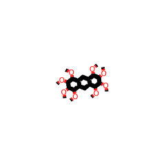 COc1c(OC)c(OC)c2cc3c(OC)c(OC)c(OC)c(OC)c3cc2c1OC